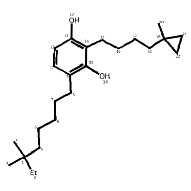 CCC(C)(C)CCCCCc1ccc(O)c(CCCCC2(C)CC2)c1O